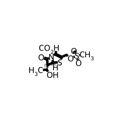 CC(O)[C@H]1C(=O)N2C(C(=O)O)=C(COS(C)(=O)=O)S[C@H]12